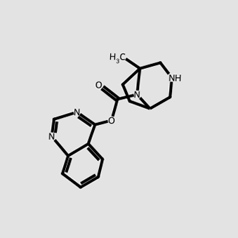 CC12CCC(CNC1)N2C(=O)Oc1ncnc2ccccc12